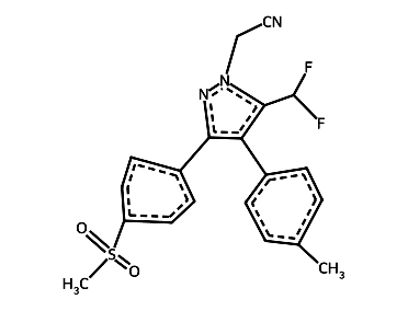 Cc1ccc(-c2c(-c3ccc(S(C)(=O)=O)cc3)nn(CC#N)c2C(F)F)cc1